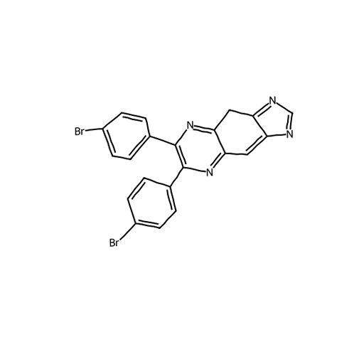 Brc1ccc(-c2nc3c(nc2-c2ccc(Br)cc2)CC2=NC=NC2=C3)cc1